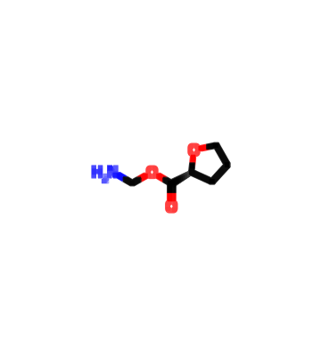 NCOC(=O)[C@@H]1CCCO1